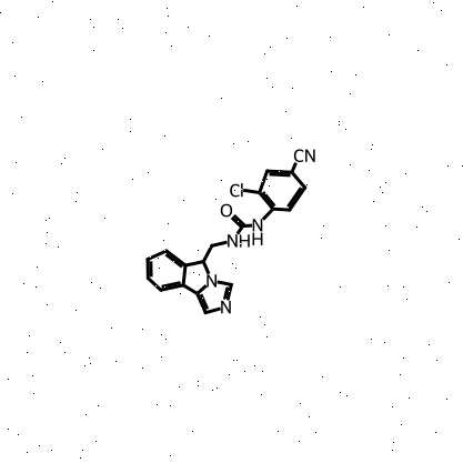 N#Cc1ccc(NC(=O)NCC2c3ccccc3-c3cncn32)c(Cl)c1